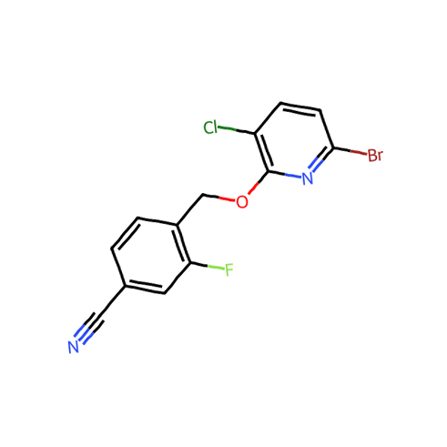 N#Cc1ccc(COc2nc(Br)ccc2Cl)c(F)c1